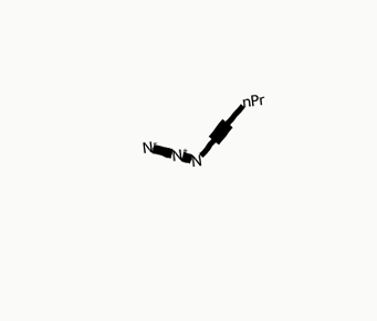 CCCC#CN=[N+]=[N-]